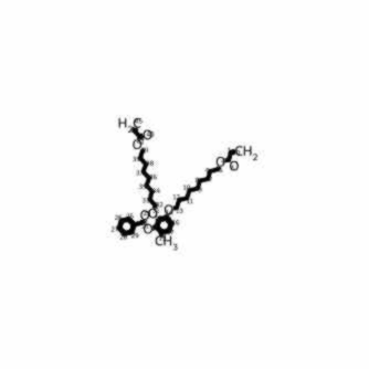 C=CC(=O)OCCCCCCCCCOc1ccc(C)c(OC(=O)c2ccccc2)c1OCCCCCCCCCOC(=O)C=C